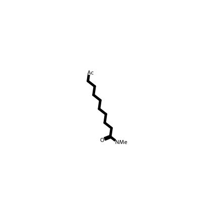 CNC(=O)CCCCCCCCC(C)=O